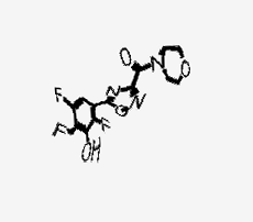 O=C(c1noc(-c2cc(F)c(F)c(O)c2F)n1)N1CCOCC1